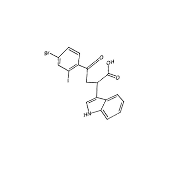 O=C(CC(C(=O)O)c1c[nH]c2ccccc12)c1ccc(Br)cc1I